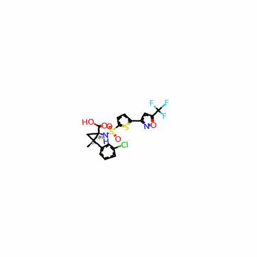 C[C@@]1(c2cccc(Cl)c2)C[C@]1(NS(=O)(=O)c1ccc(-c2cc(C(F)(F)F)on2)s1)C(=O)O